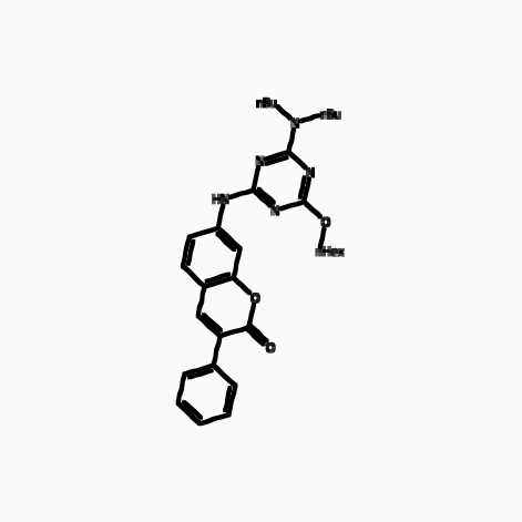 CCCCCCOc1nc(Nc2ccc3cc(-c4ccccc4)c(=O)oc3c2)nc(N(CCCC)CCCC)n1